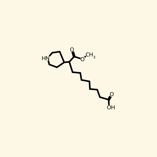 COC(=O)C(CCCCCCCC(=O)O)C1CCNCC1